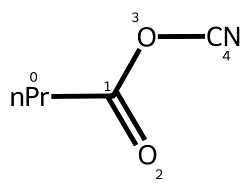 CCCC(=O)OC#N